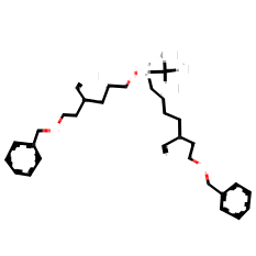 C=CC(CCCC[Si](C)(OCCCC(C=C)CCOCc1ccccc1)C(C)(C)C)CCOCc1ccccc1